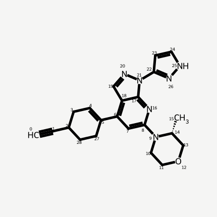 C#CC1CC=C(c2cc(N3CCOC[C@H]3C)nc3c2cnn3-c2cc[nH]n2)CC1